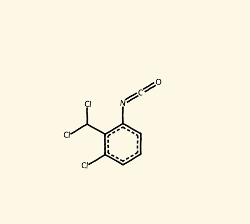 O=C=Nc1cccc(Cl)c1C(Cl)Cl